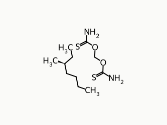 CCCC[C@@H](C)CC.NC(=S)OCOC(N)=S